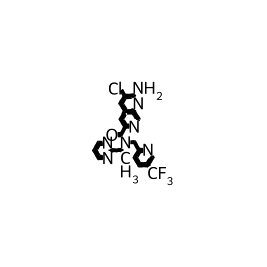 CC(c1ncccn1)N(Cc1ccc(C(F)(F)F)cn1)C(=O)c1cc2cc(Cl)c(N)nc2cn1